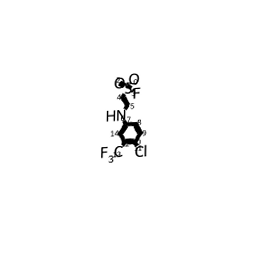 O=S(=O)(F)C=CNc1ccc(Cl)c(C(F)(F)F)c1